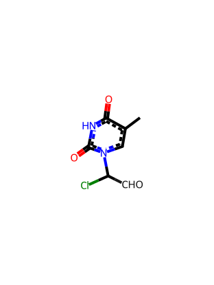 Cc1cn(C(Cl)C=O)c(=O)[nH]c1=O